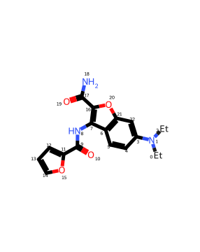 CCN(CC)c1ccc2c(NC(=O)c3ccco3)c(C(N)=O)oc2c1